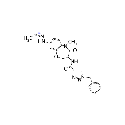 C/C=N\Nc1ccc2c(c1)OCC(NC(=O)C1CN(Cc3ccccc3)N=N1)C(=O)N2C